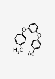 CC(=O)c1ccc(Oc2cccc(OC3=CC=C(C)C=CC3)c2)cc1